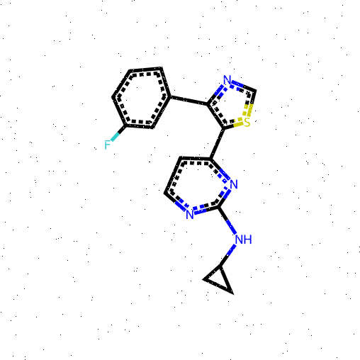 Fc1cccc(-c2ncsc2-c2ccnc(NC3CC3)n2)c1